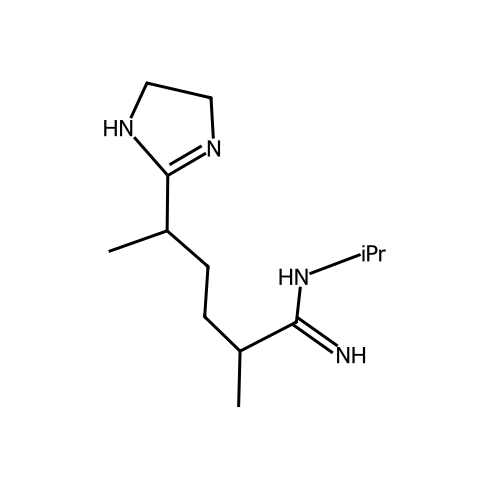 CC(C)NC(=N)C(C)CCC(C)C1=NCCN1